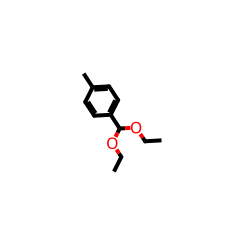 CCOC(OCC)c1ccc(C)cc1